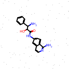 Nc1nccc2cc(NC(=O)C(O)C(N)c3ccccc3)ccc12